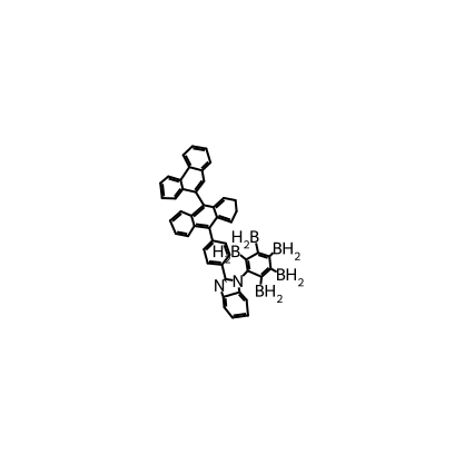 Bc1c(B)c(B)c(-n2c(-c3ccc(-c4c5c(c(-c6cc7ccccc7c7ccccc67)c6ccccc46)=CCCC=5)cc3)nc3ccccc32)c(B)c1B